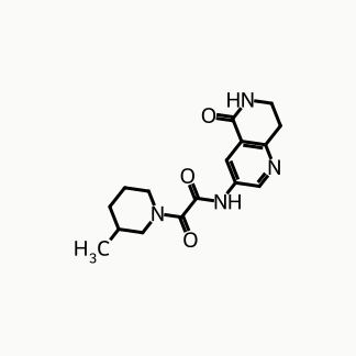 CC1CCCN(C(=O)C(=O)Nc2cnc3c(c2)C(=O)NCC3)C1